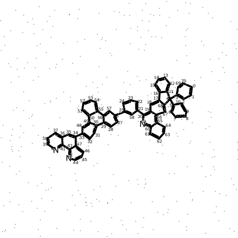 c1ccc(C2(c3ccccc3)c3ccccc3-c3cc4c(-c5cccc(-c6ccc7c8ccc(-c9cc%10cccnc%10c%10ncccc9%10)cc8c8ccccc8c7c6)c5)nc5ccccc5c4cc32)cc1